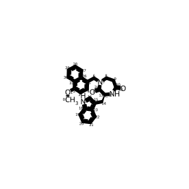 COc1ccc(CN2CCC(=O)N[C@@H](Cc3c[nH]c4ccccc34)C2=O)c2ccccc12